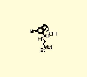 CCN(CC)CCNC(=O)c1cc(Br)cc2ccoc12.Cl